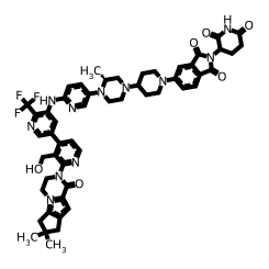 C[C@H]1CN(C2CCN(c3ccc4c(c3)C(=O)N(C3CCC(=O)NC3=O)C4=O)CC2)CCN1c1ccc(Nc2cc(-c3ccnc(N4CCn5c(cc6c5CC(C)(C)C6)C4=O)c3CO)cnc2C(F)(F)F)nc1